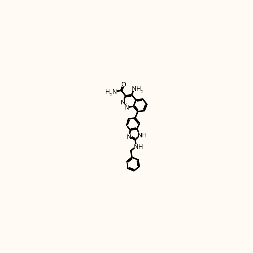 NC(=O)c1nnc2c(-c3ccc4nc(NCc5ccccc5)[nH]c4c3)cccc2c1N